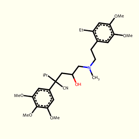 CCc1cc(OC)c(OC)cc1CCN(C)CC(O)CC(C#N)(c1cc(OC)c(OC)c(OC)c1)C(C)C